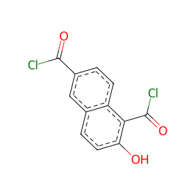 O=C(Cl)c1ccc2c(C(=O)Cl)c(O)ccc2c1